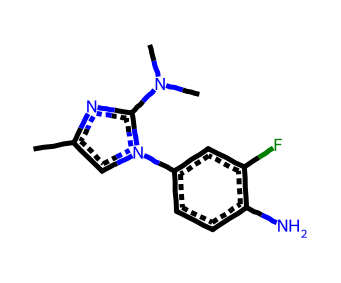 Cc1cn(-c2ccc(N)c(F)c2)c(N(C)C)n1